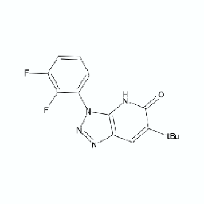 CC(C)(C)c1cc2nnn(-c3cccc(F)c3F)c2[nH]c1=O